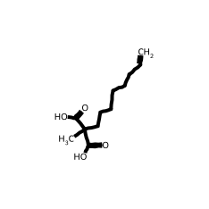 C=CCCCCCCC(C)(C(=O)O)C(=O)O